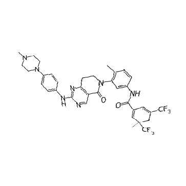 Cc1ccc(NC(=O)C2=CC(C)(C(F)(F)F)CC(C(F)(F)F)=C2)cc1N1CCc2nc(Nc3ccc(N4CCN(C)CC4)cc3)ncc2C1=O